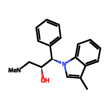 CNC[C@@H](O)[C@H](c1ccccc1)n1cc(C)c2ccccc21